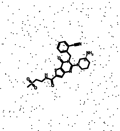 CS(=O)(=O)CCNC(=O)c1cc2nc(N3CCC[C@@H](N)C3)n(Cc3ccccc3C#N)c(=O)c2s1